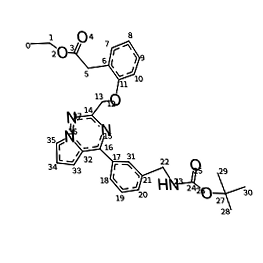 CCOC(=O)Cc1ccccc1OCc1nc(-c2cccc(CNC(=O)OC(C)(C)C)c2)c2cccn2n1